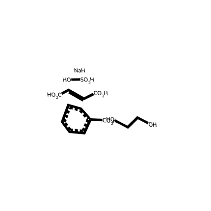 O=C(O)/C=C/C(=O)O.O=C(O)c1ccccc1.O=S(=O)(O)O.OCCO.[NaH]